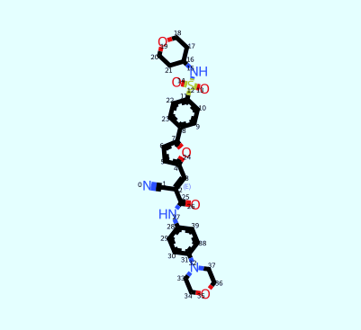 N#C/C(=C\c1ccc(-c2ccc(S(=O)(=O)NC3CCOCC3)cc2)o1)C(=O)Nc1ccc(N2CCOCC2)cc1